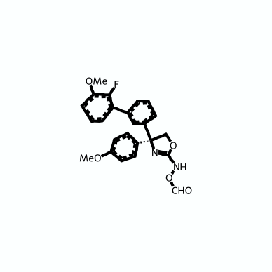 COc1ccc([C@]2(c3cccc(-c4cccc(OC)c4F)c3)COC(NOC=O)=N2)cc1